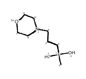 C[Si](O)(O)CCCN1CCOCC1